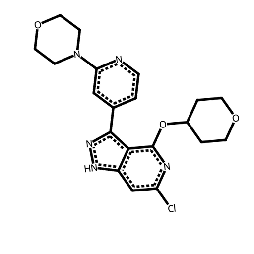 Clc1cc2[nH]nc(-c3ccnc(N4CCOCC4)c3)c2c(OC2CCOCC2)n1